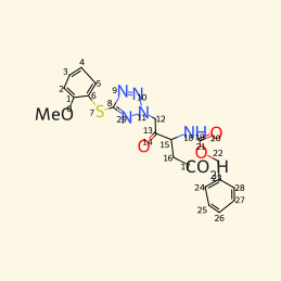 COc1ccccc1Sc1nnn(CC(=O)C(CC(=O)O)NC(=O)OCc2ccccc2)n1